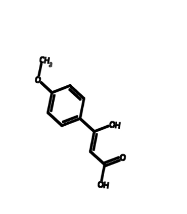 COc1ccc(C(O)=CC(=O)O)cc1